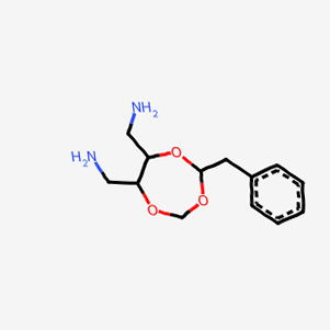 NCC1OCOC(Cc2ccccc2)OC1CN